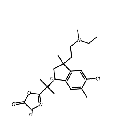 CCN(C)CCC1(C)C[C@H](C(C)(C)c2n[nH]c(=O)o2)c2cc(C)c(Cl)cc21